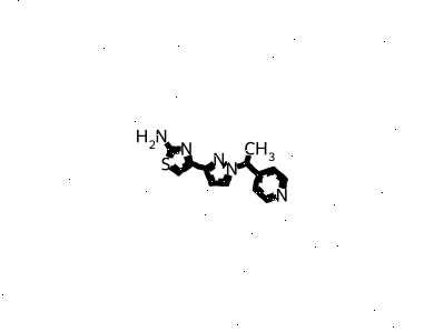 CC(c1ccncc1)n1ccc(-c2csc(N)n2)n1